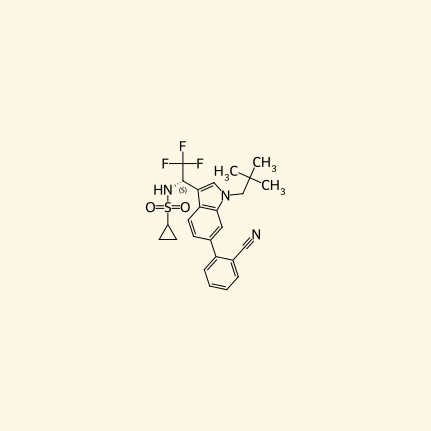 CC(C)(C)Cn1cc([C@H](NS(=O)(=O)C2CC2)C(F)(F)F)c2ccc(-c3ccccc3C#N)cc21